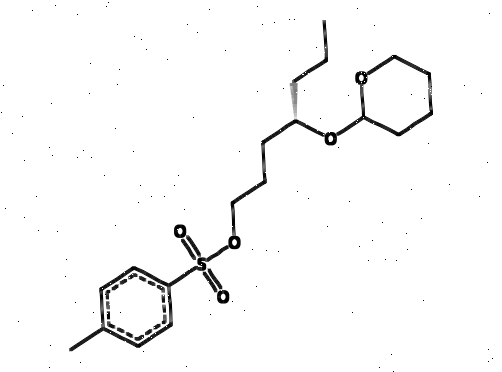 CCC[C@@H](CCCOS(=O)(=O)c1ccc(C)cc1)OC1CCCCO1